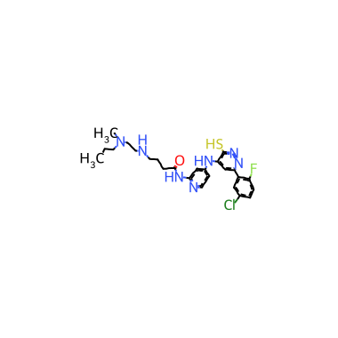 CCCN(C)CCNCCCC(=O)Nc1cc(Nc2cc(-c3cc(Cl)ccc3F)nnc2S)ccn1